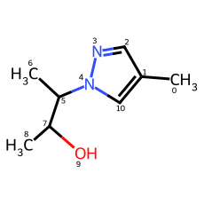 Cc1cnn(C(C)C(C)O)c1